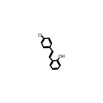 Oc1ccccc1C=Cc1ccc(Cl)cc1